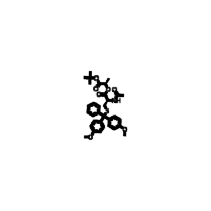 COc1ccc(C(SC[C@H](NC(C)=O)C(=O)O[C@H](C)C(=O)OC(C)(C)C)(c2ccccc2)c2ccc(OC)cc2)cc1